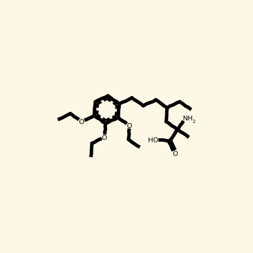 CCOc1ccc(CCCC(CC)CC(C)(N)C(=O)O)c(OCC)c1OCC